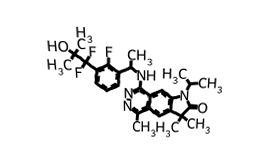 Cc1nnc(NC(C)c2cccc(C(F)(F)C(C)(C)O)c2F)c2cc3c(cc12)C(C)(C)C(=O)N3C(C)C